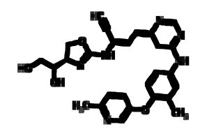 C#C/C(=C\C=C1/CC(Nc2ccc(Oc3ccc(C)nc3)c(C)c2)=NC=N1)NC1=N[C@@H](C(O)CO)CO1